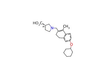 CC1=C(CN2CC[C@@H](C(=O)O)C2)CCc2cc(OC3CCCCC3)ccc21